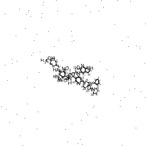 CC(C)c1ccccc1[C@@H]1CCCN1C1CC2(CCN(c3cc(N4CCOc5nc6[nH]ccc6cc54)c(C(=O)NS(=O)(=O)c4cc([N+](=O)[O-])c(NC[C@H]5CC[C@](C)(O)CC5)c5[nH]cnc45)cn3)CC2)C1